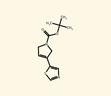 CC(C)(C)OC(=O)N1CC=C(c2cncs2)C1